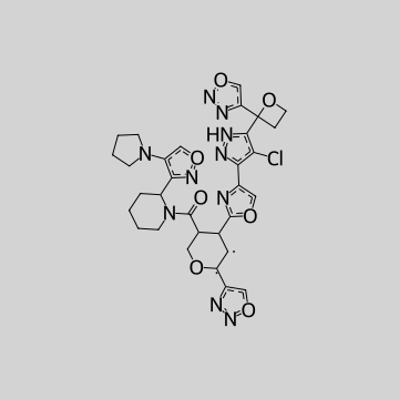 O=C(C1CO[C](c2conn2)[CH]C1c1nc(-c2n[nH]c(C3(c4conn4)CCO3)c2Cl)co1)N1CCCCC1c1nocc1N1CCCC1